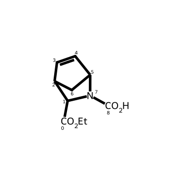 CCOC(=O)C1C2C=CC(C2)N1C(=O)O